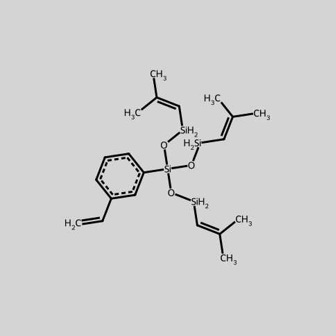 C=Cc1cccc([Si](O[SiH2]C=C(C)C)(O[SiH2]C=C(C)C)O[SiH2]C=C(C)C)c1